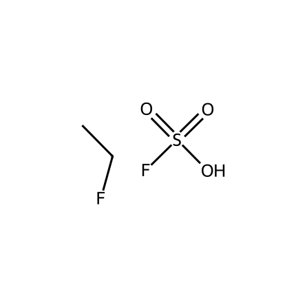 CCF.O=S(=O)(O)F